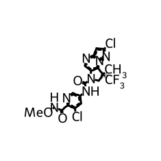 CONC(=O)c1ncc(NC(=O)N2C[C@@](C)(C(F)(F)F)c3c2cnc2cc(Cl)nn32)cc1Cl